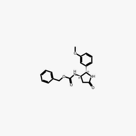 COc1cccc([C@@H]2NC(=O)C[C@H]2NC(=O)OCc2ccccc2)c1